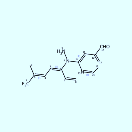 C=C/C(=C\C=C(/C)C(F)(F)F)N(N)C(=C/C(=C)C=O)/N=C\C